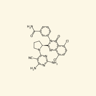 N#Cc1c(N)nc(N)nc1N1CCC[C@H]1c1nc2c(Cl)ccc(Cl)c2c(=O)n1-c1cccc(C(N)=O)c1